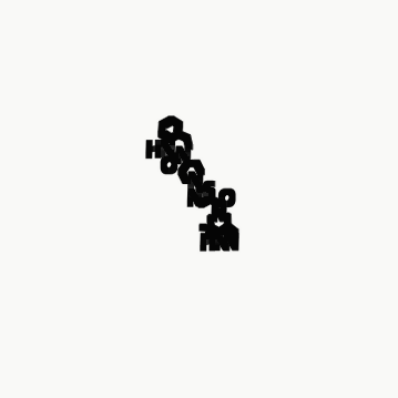 CC1(C)CN(C(=O)c2cnc(N3CCC(N4CCc5ccccc5NC4=O)CC3)s2)Cc2cn[nH]c21